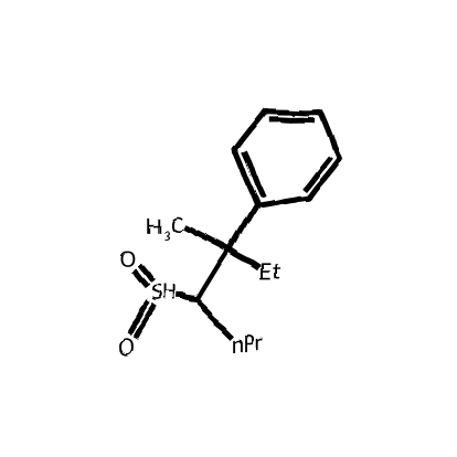 [CH2]CC(C)(c1ccccc1)C(CCC)[SH](=O)=O